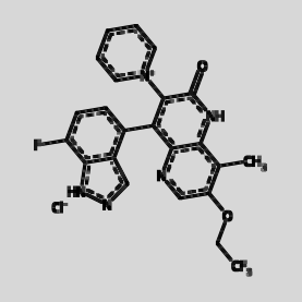 Cc1c(OCC(F)(F)F)cnc2c(-c3ccc(F)c4[nH]ncc34)c(-[n+]3ccccc3)c(=O)[nH]c12.[Cl-]